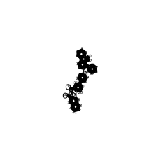 CC1(C)c2ccccc2-c2ccc3c(c21)c1ccccc1n3-c1ccc(-c2ccc3c(c2)c(=O)n2c(=O)c4cc5ccccc5cc4n32)cc1